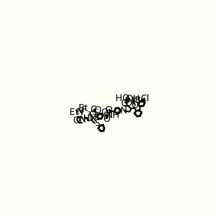 CCN(CC)C[C@H]1COCCN1CC[C@H](CSc1ccccc1)Nc1ccc(S(=O)(=O)NC(=O)c2ccc(N3CCC([C@@H](OC(OP(=O)(O)O)C(C)(C)C)c4ccccc4-c4ccc(Cl)cc4)CC3)cc2)cc1S(=O)(=O)C(F)(F)F